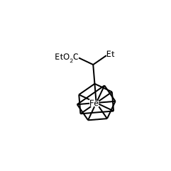 CCOC(=O)C(CC)[C]12[CH]3[CH]4[CH]5[CH]1[Fe]45321678[CH]2[CH]1[CH]6[CH]7[CH]28